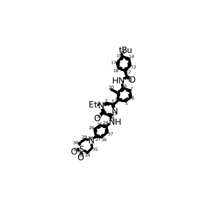 CCn1cc(-c2cccc(NC(=O)c3ccc(C(C)(C)C)cc3)c2C)nc(Nc2ccc(N3CCS(=O)(=O)CC3)cc2)c1=O